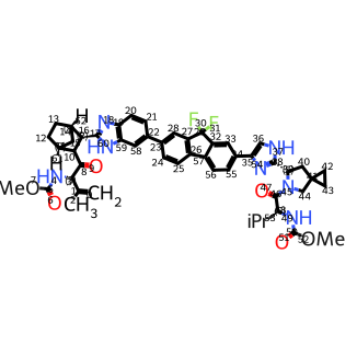 C=C(C)[C@H](NC(=O)OC)C(=O)C1[C@@H]2CC[C@@H](C2)[C@H]1c1nc2ccc(-c3ccc4c(c3)C(F)(F)c3cc(-c5c[nH]c([C@@H]6CC7(CC7)CN6C(=O)[C@@H](NC(=O)OC)C(C)C)n5)ccc3-4)cc2[nH]1